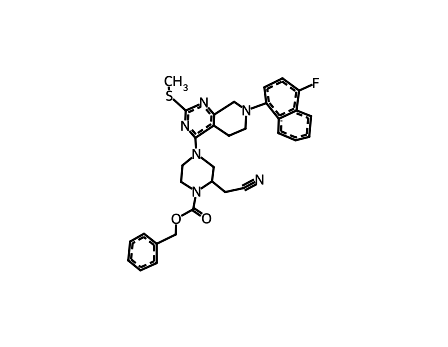 CSc1nc2c(c(N3CCN(C(=O)OCc4ccccc4)C(CC#N)C3)n1)CCN(c1ccc(F)c3ccccc13)C2